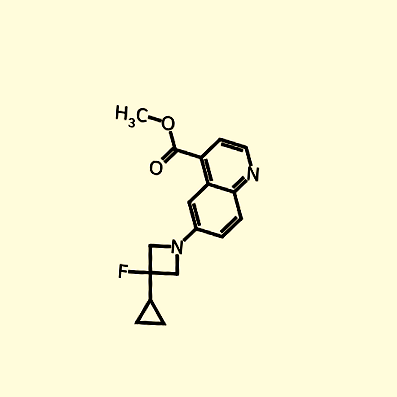 COC(=O)c1ccnc2ccc(N3CC(F)(C4CC4)C3)cc12